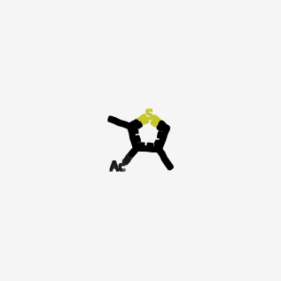 CC(=O)c1c(C)csc1C